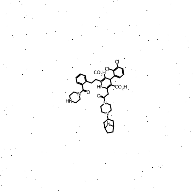 CN1C2CCC1CC(N1CCN(C(=O)CC3=C(C(=O)O)C(c4cccc(Cl)c4Cl)C(C(=O)O)=C(CCc4ccccc4C(=O)N4CCNCC4)N3)CC1)C2